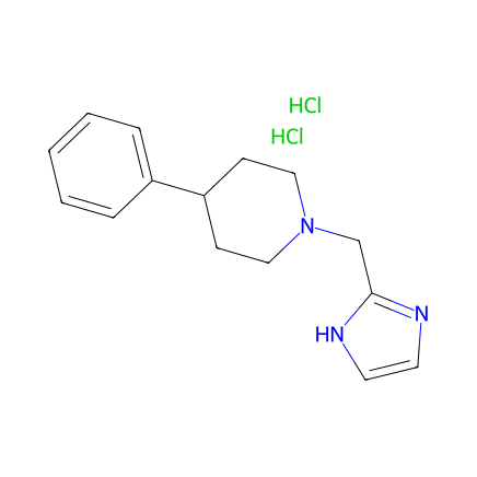 Cl.Cl.c1ccc(C2CCN(Cc3ncc[nH]3)CC2)cc1